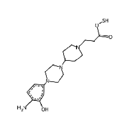 Nc1ccc(N2CCN(C3CCN(CCC(=O)OS)CC3)CC2)cc1O